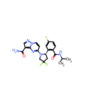 CC(C)NC(=O)c1ccc(F)cc1[C@H]1CC(F)(F)CN1c1ccn2ncc(C(N)=O)c2n1